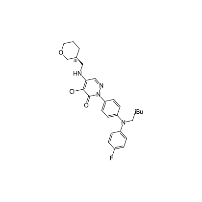 CCC(C)CN(c1ccc(F)cc1)c1ccc(-n2ncc(NC[C@@H]3CCCOC3)c(Cl)c2=O)cc1